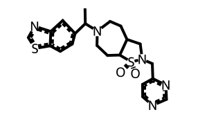 CC(c1ccc2scnc2c1)N1CCC2CN(Cc3ccncn3)S(=O)(=O)C2CC1